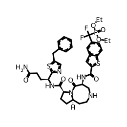 CCOP(=O)(OCC)C(F)(F)c1ccc2sc(C(=O)N[C@H]3CNCC[C@H]4CC[C@@H](C(=O)N[C@@H](CCC(N)=O)c5ncc(Cc6ccccc6)s5)N4C3=O)cc2c1